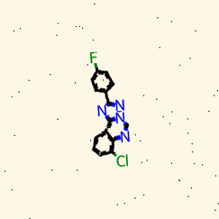 Fc1ccc(-c2nc3c4cccc(Cl)c4ncn3n2)cc1